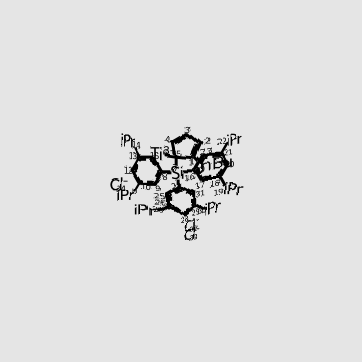 CCCCC1=CC=C[C]1([Ti+3])[Si](c1cc(C(C)C)cc(C(C)C)c1)(c1cc(C(C)C)cc(C(C)C)c1)c1cc(C(C)C)cc(C(C)C)c1.[Cl-].[Cl-].[Cl-]